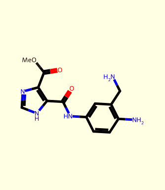 COC(=O)c1nc[nH]c1C(=O)Nc1ccc(N)c(CN)c1